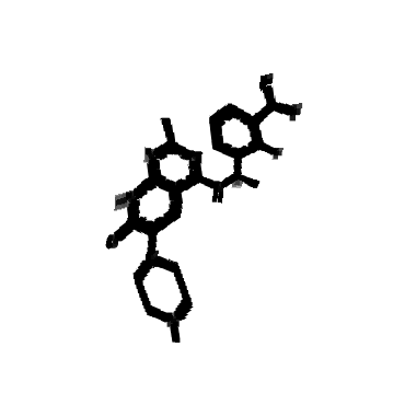 Cc1nc(N[C@H](C)c2cccc(C(F)F)c2F)c2cc(N3CCN(C)CC3)c(=O)[nH]c2n1